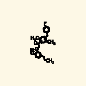 C=CCc1ccc(OCC)c(OCC(=O)N2C[C@H](C)N(Cc3ccc(F)cc3)C[C@H]2C)c1